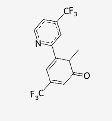 CC1C(=O)C=C(C(F)(F)F)C=C1c1cc(C(F)(F)F)ccn1